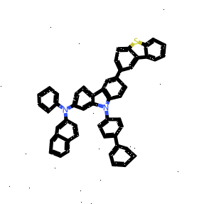 c1ccc(-c2ccc(-n3c4ccc(-c5ccc6sc7ccccc7c6c5)cc4c4ccc(N(c5ccccc5)c5ccc6ccccc6c5)cc43)cc2)cc1